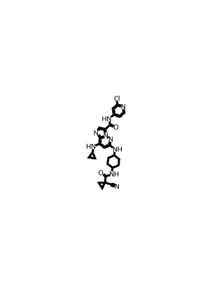 N#CC1(C(=O)NC2CCC(Nc3cc(NC4CC4)c4ncc(C(=O)Nc5ccnc(Cl)c5)n4n3)CC2)CC1